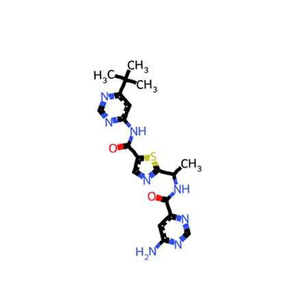 CC(NC(=O)c1cc(N)ncn1)c1ncc(C(=O)Nc2cc(C(C)(C)C)ncn2)s1